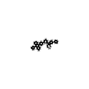 C1=NCCc2c1c1cc(-c3ccccc3)ccc1n2-c1cccc(-c2ccc(-c3c4ccccc4c(-c4ccccc4)c4ccccc34)cc2)n1